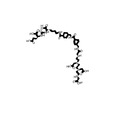 O=C(O)CC[C@H](NC(=O)N[C@@H](CCCCNC(=O)C1CCC(CNC(=O)c2ccc(CNC(=O)CNCCN(CCN(CCNCC(=O)O)CC(=O)O)CC(=O)O)cc2)CC1)C(=O)O)C(=O)O